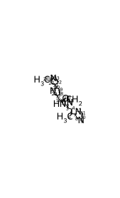 C=N/C(=C\C=C(/C)c1cnccn1)NC(=O)Cc1ccc(-c2ccnc(C)c2)nc1